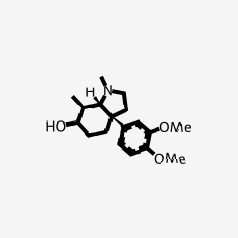 COc1ccc([C@@]23CCC(O)C(C)[C@@H]2N(C)CC3)cc1OC